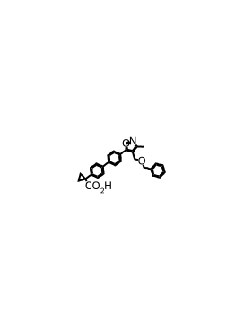 Cc1noc(-c2ccc(-c3ccc(C4(C(=O)O)CC4)cc3)cc2)c1COCc1ccccc1